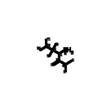 BC(C(=C)C(C)C)C(C)(C)C(C)C